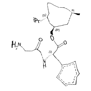 CC(C)[C@@H]1CC[C@@H](C)C[C@H]1OC(=O)[C@@H](NC(=O)CN)c1ccccc1